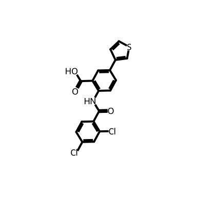 O=C(Nc1ccc(-c2ccsc2)cc1C(=O)O)c1ccc(Cl)cc1Cl